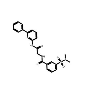 CN(C)S(=O)(=O)c1cccc(C(=O)NCC(=O)Nc2cccc(-c3ccccc3)n2)c1